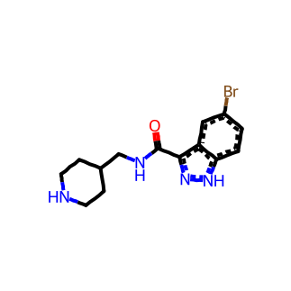 O=C(NCC1CCNCC1)c1n[nH]c2ccc(Br)cc12